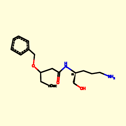 CCCCCCCCCCCC(CC(=O)N[C@@H](CO)CCCN)OCc1ccccc1